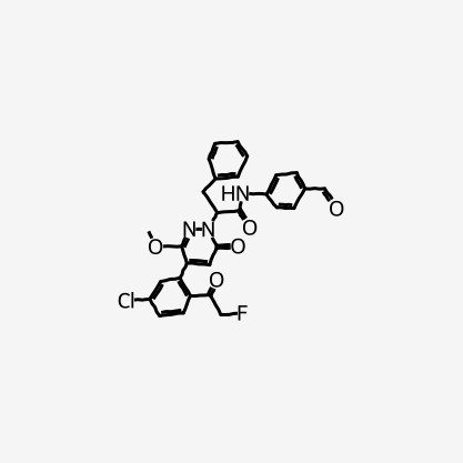 COc1nn(C(Cc2ccccc2)C(=O)Nc2ccc(C=O)cc2)c(=O)cc1-c1cc(Cl)ccc1C(=O)CF